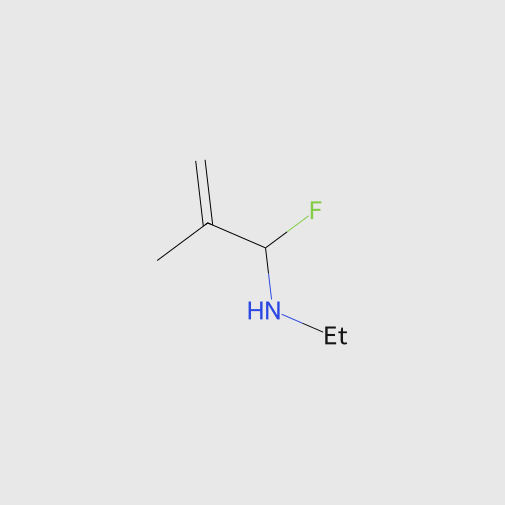 C=C(C)C(F)NCC